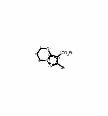 CCOC(=O)c1c(Br)nn2c1OCCC2